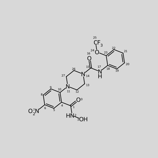 O=C(NO)c1cc([N+](=O)[O-])ccc1N1CCN(C(=O)Nc2ccccc2OC(F)(F)F)CC1